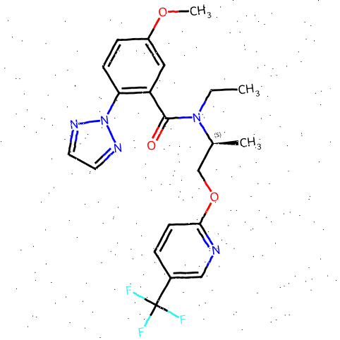 CCN(C(=O)c1cc(OC)ccc1-n1nccn1)[C@@H](C)COc1ccc(C(F)(F)F)cn1